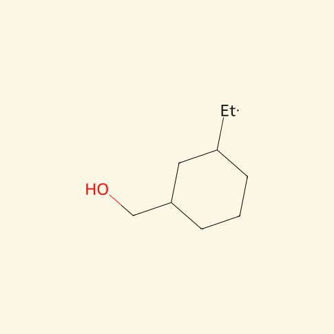 C[CH]C1CCCC(CO)C1